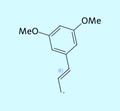 [CH2]/C=C/c1cc(OC)cc(OC)c1